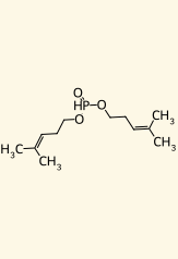 CC(C)=CCCO[PH](=O)OCCC=C(C)C